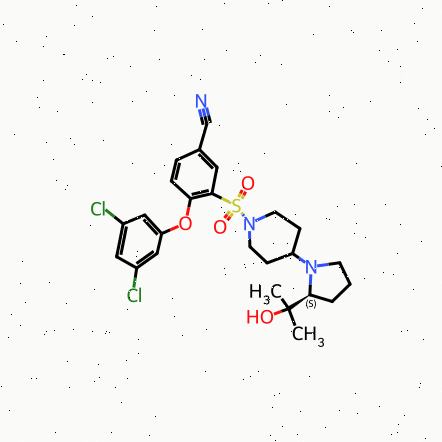 CC(C)(O)[C@@H]1CCCN1C1CCN(S(=O)(=O)c2cc(C#N)ccc2Oc2cc(Cl)cc(Cl)c2)CC1